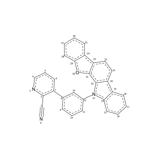 N#Cc1ncccc1-c1cccc(-n2c3ccccc3c3ccc4c5ccccc5oc4c32)c1